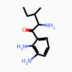 CCC(C)C(N)C(=O)c1cccc(N)c1N